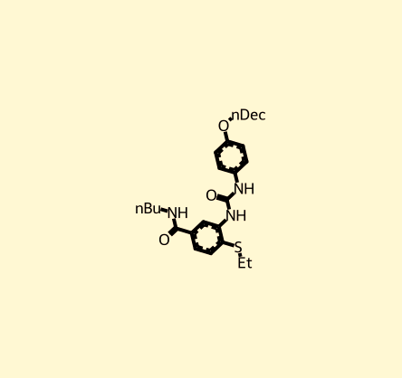 CCCCCCCCCCOc1ccc(NC(=O)Nc2cc(C(=O)NCCCC)ccc2SCC)cc1